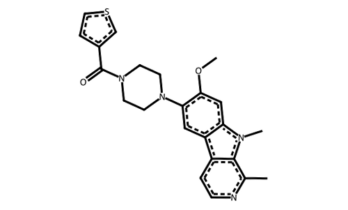 COc1cc2c(cc1N1CCN(C(=O)c3ccsc3)CC1)c1ccnc(C)c1n2C